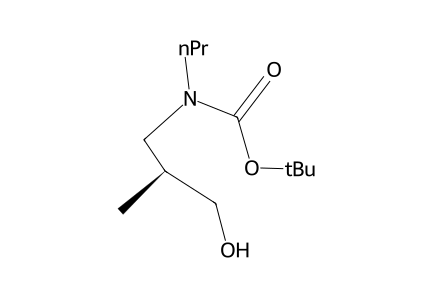 CCCN(C[C@H](C)CO)C(=O)OC(C)(C)C